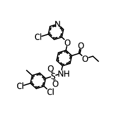 CCOC(=O)c1cc(NS(=O)(=O)c2cc(C)c(Cl)cc2Cl)ccc1Oc1cncc(Cl)c1